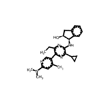 CCc1nc(N[C@@H]2c3ccccc3C[C@@H]2O)c(C2CC2)nc1-c1cnc(N(C)C)cc1C